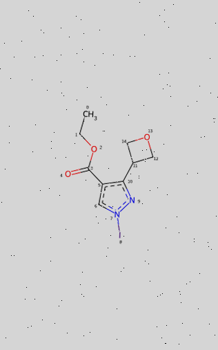 CCOC(=O)c1cn(I)nc1C1COC1